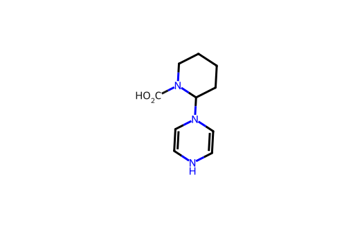 O=C(O)N1CCCCC1N1C=CNC=C1